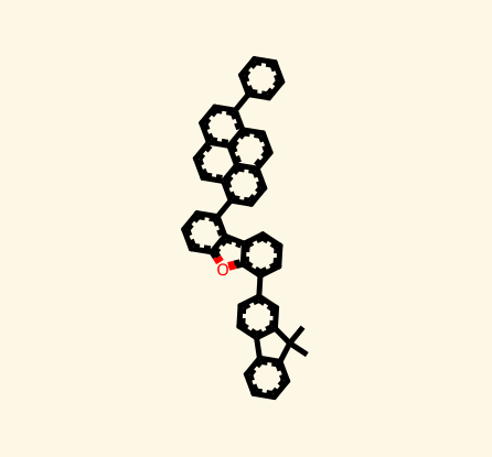 CC1(C)c2ccccc2-c2ccc(-c3cccc4c3oc3cccc(-c5ccc6ccc7c(-c8ccccc8)ccc8ccc5c6c87)c34)cc21